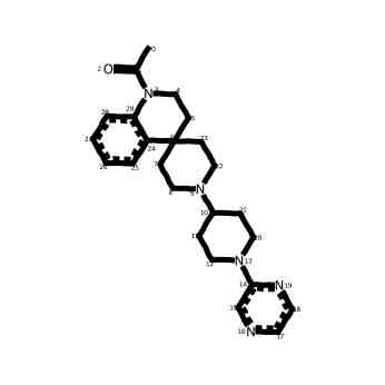 CC(=O)N1CCC2(CCN(C3CCN(c4cnccn4)CC3)CC2)c2ccccc21